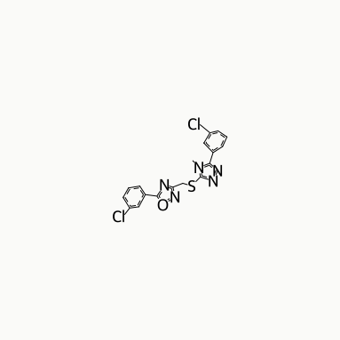 Cn1c(SCc2noc(-c3cccc(Cl)c3)n2)nnc1-c1cccc(Cl)c1